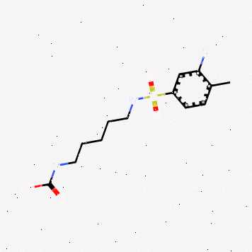 Cc1ccc(S(=O)(=O)NCCCCCNC(=O)O)cc1N